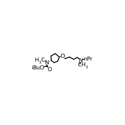 CCCN(C)CCCCO[C@H]1CC[C@H](N(C)C(=O)OCC(C)C)CC1